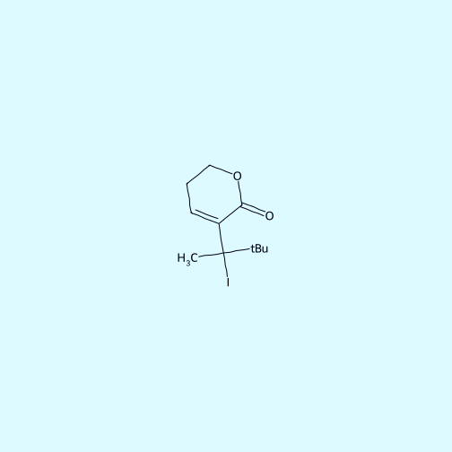 CC(C)(C)C(C)(I)C1=CCCOC1=O